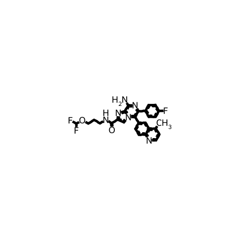 Cc1ccnc2ccc(-c3c(-c4ccc(F)cc4)nc(N)c4nc(C(=O)NCCCOC(F)F)cn34)cc12